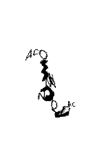 CC(=O)OCCCCc1cn(-c2cncc(OC[C@@H]3CCN3C(C)=O)c2)nn1